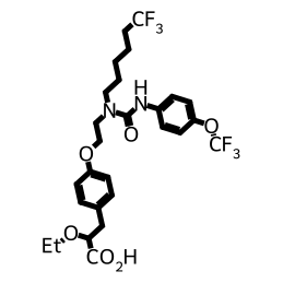 CCOC(Cc1ccc(OCCN(CCCCCC(F)(F)F)C(=O)Nc2ccc(OC(F)(F)F)cc2)cc1)C(=O)O